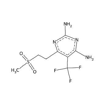 CS(=O)(=O)CCc1nc(N)nc(N)c1C(F)(F)F